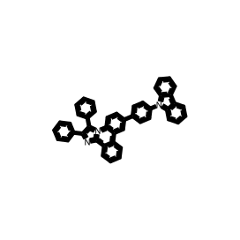 c1ccc(-c2nc3c4ccccc4c4cc(-c5ccc(-n6c7ccccc7c7ccccc76)cc5)ccc4n3c2-c2ccccc2)cc1